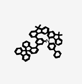 CC1(C)c2ccccc2-c2c(-c3cc(-c4cccc5c4-c4ccccc4C54c5ccccc5-c5ccccc54)cc(N(c4ccc(-c5ccccc5)cc4)c4cccc5c4-c4ccccc4C5(C)C)c3)cccc21